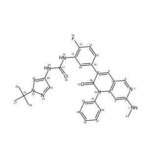 CNc1cc2c(cn1)cc(-c1ccc(F)c(NC(=O)Nc3cnn(C(C)(C)C)c3)c1)c(=O)n2-c1ccccc1